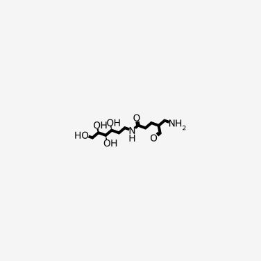 NCC(C=O)CCC(=O)NCC[C@@H](O)[C@H](O)[C@H](O)CO